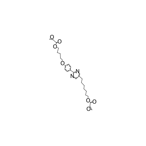 O=C(OCCCCCCCc1cnc(-c2ccc(OCCCCCOC(=O)C3CO3)cc2)nc1)C1CO1